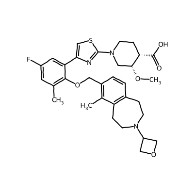 CO[C@@H]1CN(c2nc(-c3cc(F)cc(C)c3OCc3ccc4c(c3C)CCN(C3COC3)CC4)cs2)CC[C@@H]1C(=O)O